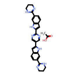 CC(=O)O.c1cc2cc(-c3cnc(-c4cc5ccc(C6=NCCCN6)cc5[nH]4)nc3)[nH]c2cc1C1=NCCCN1